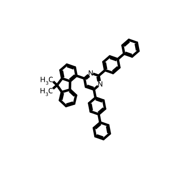 CC1(C)c2ccccc2-c2c(-c3cc(-c4ccc(-c5ccccc5)cc4)nc(-c4ccc(-c5ccccc5)cc4)n3)cccc21